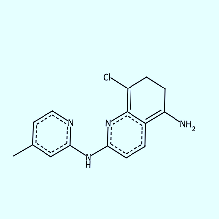 Cc1ccnc(Nc2ccc3c(n2)=C(Cl)CCC=3N)c1